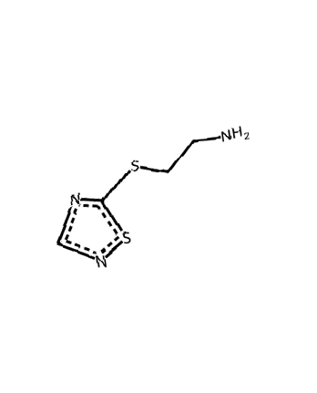 NCCSc1ncns1